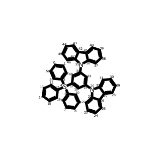 c1ccc(S(c2ccccc2)(c2ccccc2)c2cc(-n3c4ccccc4c4ccccc43)cc(-n3c4ccccc4c4ccccc43)c2)cc1